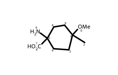 COC1(C)CCC(N)(C(=O)O)CC1